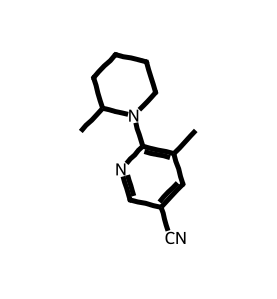 Cc1cc(C#N)cnc1N1CCCCC1C